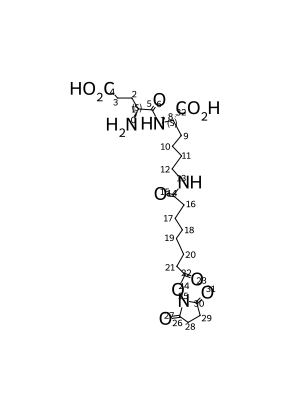 N[C@@H](CCC(=O)O)C(=O)N[C@@H](CCCCNC(=O)CCCCCCC(=O)ON1C(=O)CCC1=O)C(=O)O